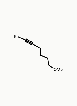 [CH2]CC#CCCCCOC